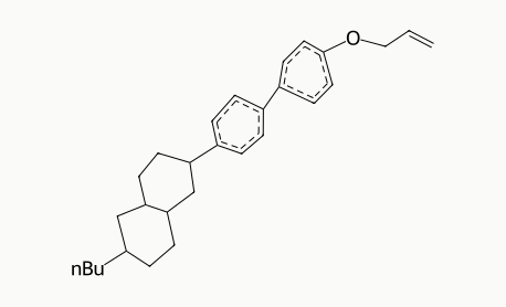 C=CCOc1ccc(-c2ccc(C3CCC4CC(CCCC)CCC4C3)cc2)cc1